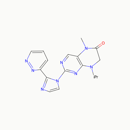 CC(C)N1CC(=O)N(C)c2cnc(-n3ccnc3-c3cccnn3)nc21